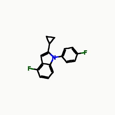 Fc1ccc(-n2c(C3CC3)cc3c(F)cccc32)cc1